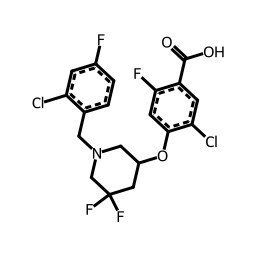 O=C(O)c1cc(Cl)c(OC2CN(Cc3ccc(F)cc3Cl)CC(F)(F)C2)cc1F